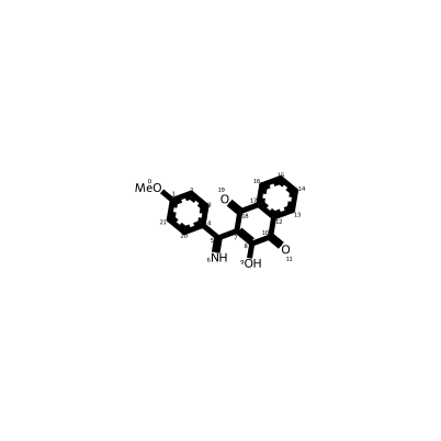 COc1ccc(C(=N)C2=C(O)C(=O)c3ccccc3C2=O)cc1